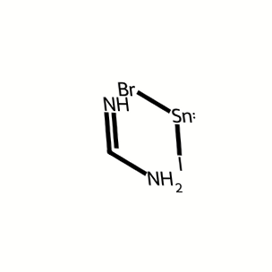 N=CN.[Br][Sn][I]